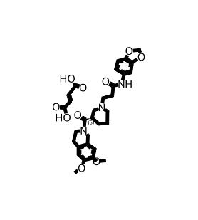 COc1cc2c(cc1OC)CN(C(=O)[C@H]1CCCN(CCC(=O)Nc3ccc4c(c3)OCO4)C1)CC2.O=C(O)C=CC(=O)O